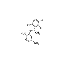 CC(Oc1cc(N)cnc1N)c1c(Cl)ccc(F)c1Cl